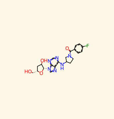 O=C(c1ccc(F)cc1)N1CCC(Nc2ncnc3c2ncn3[C@@H]2O[C@H](CO)C[C@H]2O)C1